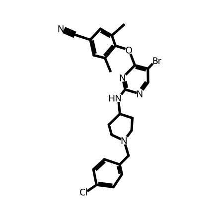 Cc1cc(C#N)cc(C)c1Oc1nc(NC2CCN(Cc3ccc(Cl)cc3)CC2)ncc1Br